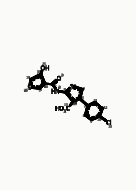 O=C(Nc1scc(-c2ccc(Cl)cc2)c1C(=O)O)c1cscc1O